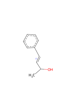 CC(O)/C=C/c1ccccc1